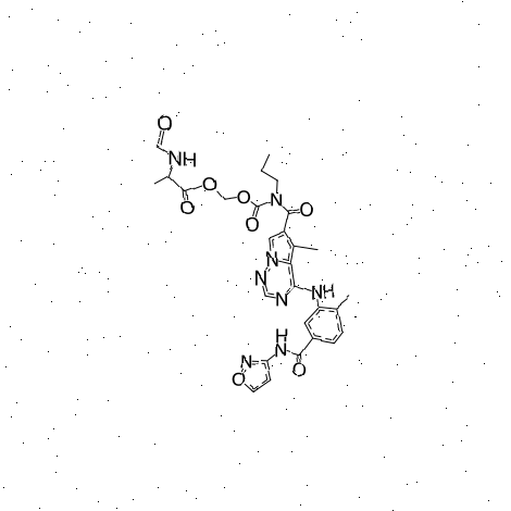 CCCN(C(=O)OCOC(=O)C(C)NC=O)C(=O)c1cn2ncnc(Nc3cc(C(=O)Nc4ccon4)ccc3C)c2c1C